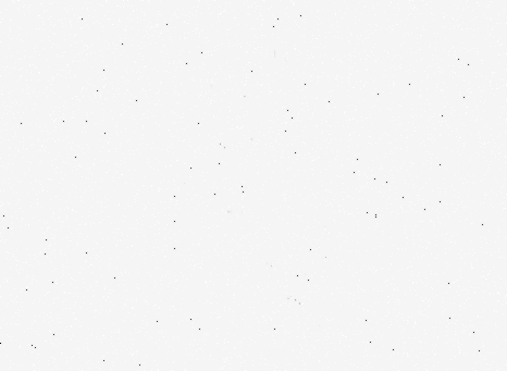 COC(=O)CN(C)C(=O)COc1cccc([N+](=O)[O-])c1C=O